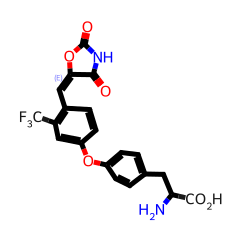 NC(Cc1ccc(Oc2ccc(/C=C3/OC(=O)NC3=O)c(C(F)(F)F)c2)cc1)C(=O)O